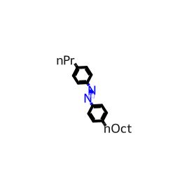 CCCCCCCCc1ccc(/N=N/c2ccc(CCC)cc2)cc1